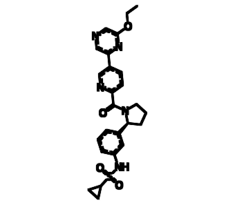 CCOc1cncc(-c2ccc(C(=O)N3CCC[C@H]3c3cccc(NS(=O)(=O)C4CC4)c3)nc2)n1